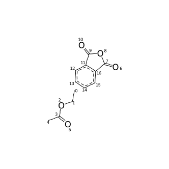 CCOC(C)=O.O=C1OC(=O)c2ccccc21